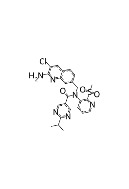 CC(C)c1ncc(C(=O)N(Cc2ccc3cc(Cl)c(N)nc3c2)c2cccnc2S(C)(=O)=O)cn1